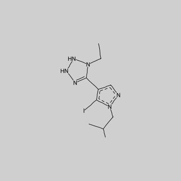 CCN1NNN=C1c1cnn(CC(C)C)c1I